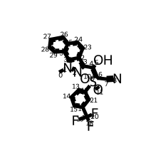 Cn1nc(/C(O)=C(/C#N)S(=O)(=O)c2cccc(C(F)(F)F)c2)c2ccc3ccccc3c21